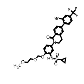 COCCOCOc1ccc(N2CCc3cc(-c4ccc(C(F)(F)F)cc4Br)ccc3C2=O)cc1NS(=O)(=O)C1CC1